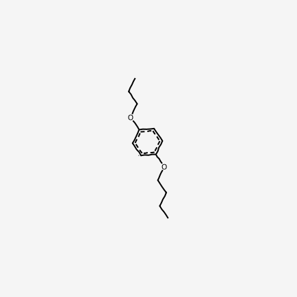 CCCCOc1[c]cc(OCCC)cc1